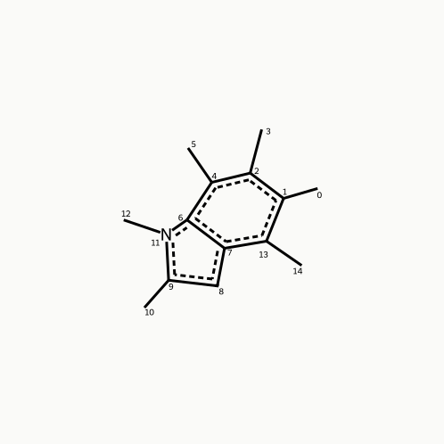 Cc1c(C)c(C)c2c(cc(C)n2C)c1C